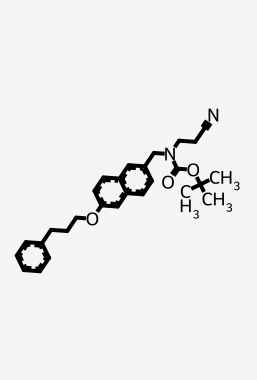 CC(C)(C)OC(=O)N(CCC#N)Cc1ccc2cc(OCCCc3ccccc3)ccc2c1